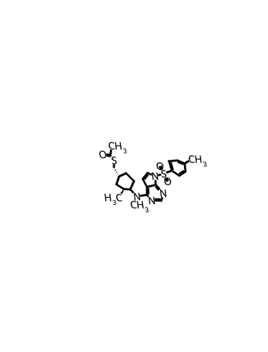 CC(=O)SC[C@@H]1CCC(N(C)c2ncnc3c2ccn3S(=O)(=O)c2ccc(C)cc2)[C@@H](C)C1